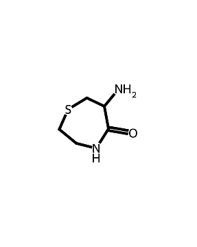 NC1CSCCNC1=O